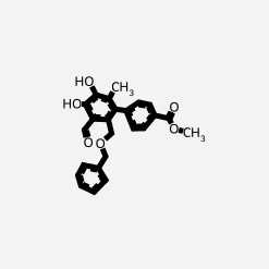 COC(=O)c1ccc(-c2c(C)c(O)c(O)c(C=O)c2COCc2ccccc2)cc1